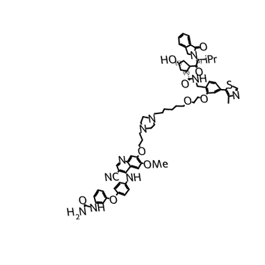 COc1cc2c(Nc3ccc(Oc4cccc(NC(N)=O)c4)cc3)c(C#N)cnc2cc1OCCCN1CCN(CCCCCCOCCOc2cc(-c3scnc3C)ccc2CNC(=O)[C@@H]2C[C@@H](O)CC2C(=O)[C@H](C(C)C)N2Cc3ccccc3C2=O)CC1